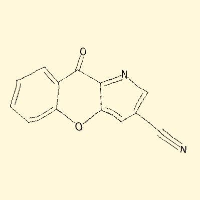 N#Cc1cnc2c(=O)c3ccccc3oc2c1